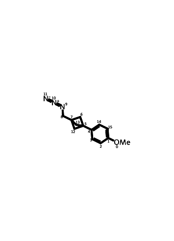 COc1ccc(C23CC(CN=[N+]=[N-])(C2)C3)cc1